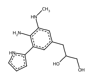 CNc1cc(CC(O)CO)cc(-c2ccc[nH]2)c1N